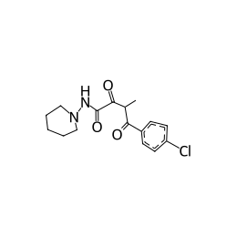 CC(C(=O)C(=O)NN1CCCCC1)C(=O)c1ccc(Cl)cc1